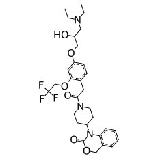 CCN(CC)CC(O)COc1ccc(CC(=O)N2CCC(N3C(=O)OCc4ccccc43)CC2)c(OCC(F)(F)F)c1